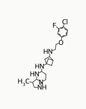 CC1CNN2CCC(NC34CC(C3)C(NCCOc3ccc(Cl)c(F)c3)C4)NC12